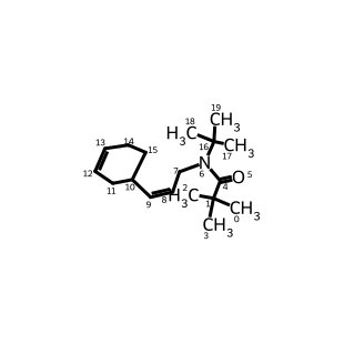 CC(C)(C)C(=O)N(C/C=C\C1CC=CCC1)C(C)(C)C